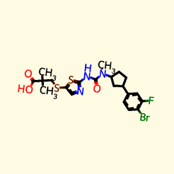 CN(C(=O)Nc1ncc(SCC(C)(C)C(=O)O)s1)C1CCC(c2ccc(Br)c(F)c2)C1